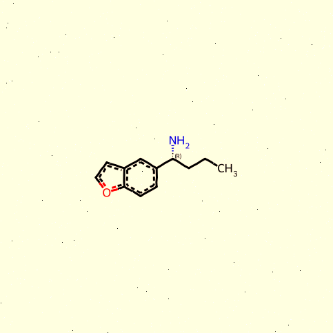 CCC[C@@H](N)c1ccc2occc2c1